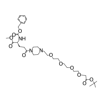 COC(=O)[C@H](CCC(=O)N1CCN(CCOCCOCCOCCOCC(=O)OC(C)(C)C)CC1)NC(=O)OCc1ccccc1